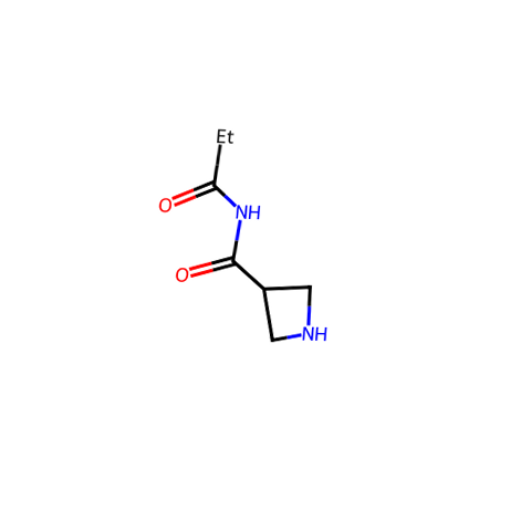 CCC(=O)NC(=O)C1CNC1